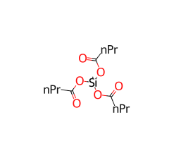 CCCC(=O)O[Si](OC(=O)CCC)OC(=O)CCC